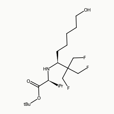 CC(C)[C@H](N[C@@H](CCCCCO)C(CF)(CF)CF)C(=O)OC(C)(C)C